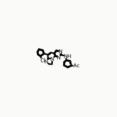 CC(=O)c1cccc(Nc2ncc3c(n2)N2CCN=C2C(c2ccccc2Cl)=C3)c1